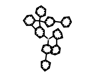 c1ccc(-c2ccc(N(c3ccc4c(c3)C(c3ccccc3)(c3ccc(-c5ccccc5)cc3)c3ccccc3-4)c3ccccc3-c3ccccc3)cc2)cc1